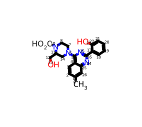 Cc1ccc2c(N3CCN(C(=O)O)C(CO)C3)nc(-c3ccccc3O)nc2c1